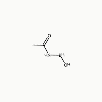 CC(=O)NBO